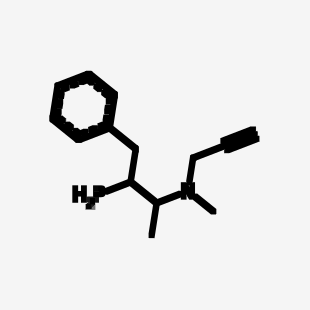 C#CCN(C)C(C)C(P)Cc1ccccc1